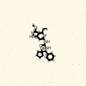 CCc1nc(NC(=O)N[C@@H](c2ccccc2)C2(O)CCCC2)cc2[nH]nc(OC)c12